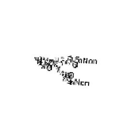 CCCCCCCCCSC(=O)C(C)(C)CCCCCC(CCCCCC(C)(C)C(=O)SCCCCCCCCC)OC(=O)C1CCN(C)CC1